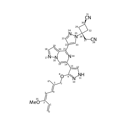 C=C/C(=C\C=C(/C)COc1n[nH]cc1-c1cn2nccc2c(-c2cnn([C@]3(CC#N)C[C@@H](C#N)C3)c2)n1)OC